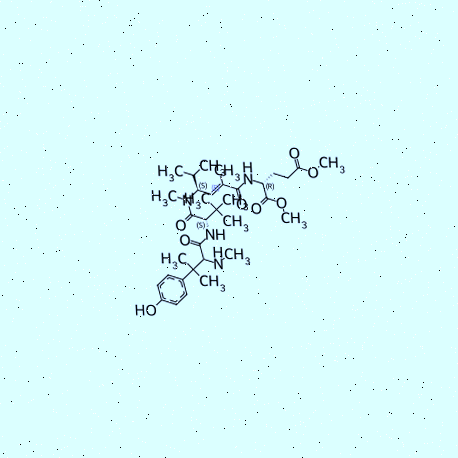 CNC(C(=O)N[C@H](C(=O)N(C)[C@H](/C=C(\C)C(=O)N[C@H](CCC(=O)OC)C(=O)OC)C(C)C)C(C)(C)C)C(C)(C)c1ccc(O)cc1